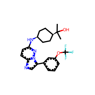 CC(C)(O)[C@H]1CC[C@@H](Nc2ccc3ncc(-c4cccc(OC(F)(F)F)c4)n3n2)CC1